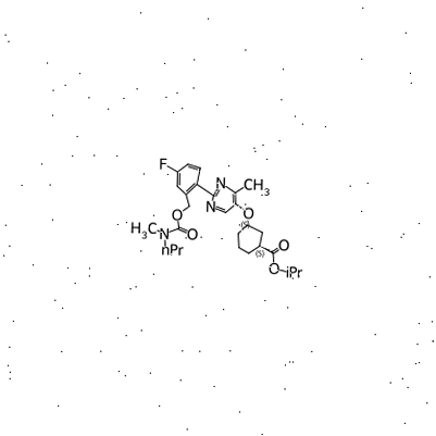 CCCN(C)C(=O)OCc1cc(F)ccc1-c1ncc(O[C@H]2CCC[C@H](C(=O)OC(C)C)C2)c(C)n1